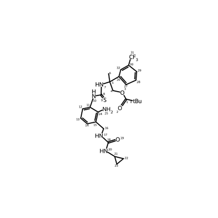 CC(C)(C)C(=O)OCC(C)(NC(=S)Nc1cccc(CNC(=O)NC2CC2)c1N)c1cccc(C(F)(F)F)c1